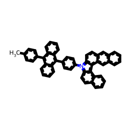 Cc1ccc(-c2c3ccccc3c(-c3ccc(-n4c5ccc6ccccc6c5c5c6cc7ccccc7cc6ccc54)cc3)c3ccccc23)cc1